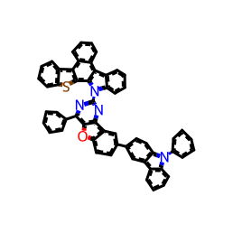 c1ccc(-c2nc(-n3c4ccccc4c4c5ccccc5c5c6ccccc6sc5c43)nc3c2oc2ccc(-c4ccc5c(c4)c4ccccc4n5-c4ccccc4)cc23)cc1